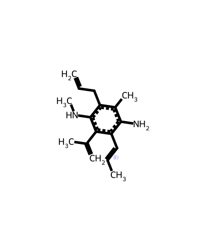 C=CCc1c(C)c(N)c(/C=C/C)c(C(=C)C)c1NC